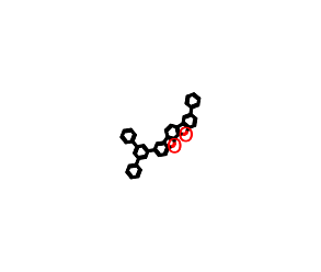 c1ccc(-c2cc(-c3ccccc3)cc(-c3ccc4oc5c(ccc6c7cc(-c8ccccc8)ccc7oc65)c4c3)c2)cc1